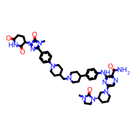 CN1CCN([C@@H]2CCCN(c3cnc(C(N)=O)c(Nc4ccc(C5CCN(CC6CCN(c7ccc(-c8nn(C9CCC(=O)NC9=O)c(=O)n8C)cc7)CC6)CC5)cc4)n3)C2)C1=O